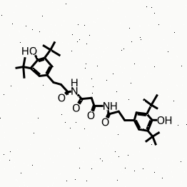 CC(C)(C)c1cc(CCC(=O)NC(=O)CC(=O)NC(=O)CCc2cc(C(C)(C)C)c(O)c(C(C)(C)C)c2)cc(C(C)(C)C)c1O